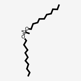 CCCCCCCCCCO[Si](C)(C)OCCCCCCCCCC